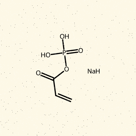 C=CC(=O)OP(=O)(O)O.[NaH]